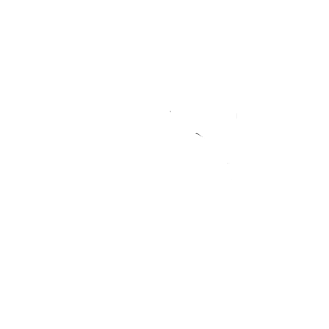 O=C1C[C@@H](O)[C@H](/C=C/[C@@H](O)CCc2ccccc2)[C@H]1Cc1ccccc1